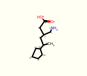 CC(CC(CN)CC(=O)O)C1CCCC1